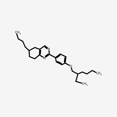 CCCCC(CC)COc1ccc(-c2ncc3c(n2)CCC(CCCC)C3)cc1